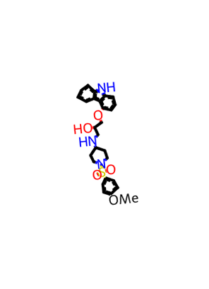 COc1ccc(S(=O)(=O)N2CCC(NCC(O)COc3cccc4[nH]c5ccccc5c34)CC2)cc1